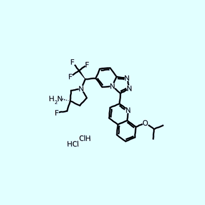 CC(C)Oc1cccc2ccc(-c3nnc4ccc([C@@H](N5CC[C@@](N)(CF)C5)C(F)(F)F)cn34)nc12.Cl.Cl